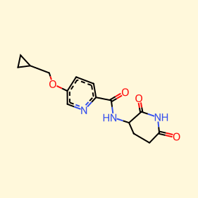 O=C1CCC(NC(=O)c2ccc(OCC3CC3)cn2)C(=O)N1